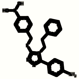 Nc1ccc(-c2nnc(SCc3ccc(B(O)O)cc3)n2CCc2ccccc2)cc1